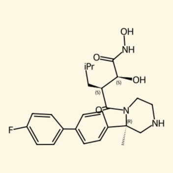 CC(C)C[C@H](C(=O)N1CCNC[C@@]1(C)c1ccc(-c2ccc(F)cc2)cc1)[C@H](O)C(=O)NO